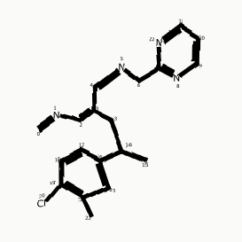 C=N/C=C(\C=N/Cc1ncccn1)CC(C)c1ccc(Cl)c(C)c1